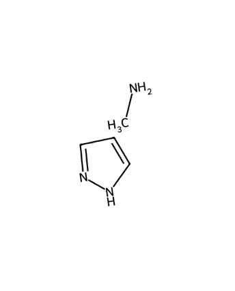 CN.c1cn[nH]c1